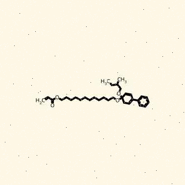 C=CC(=O)OCCCCCCCCCCCCOC1(OCC(C)CC)C=CC(c2ccccc2)=CC1